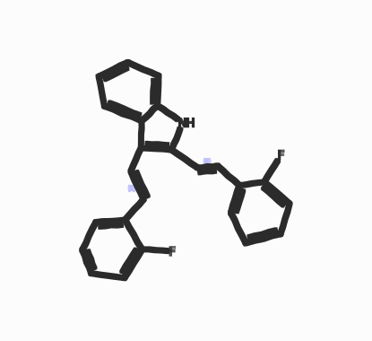 Fc1ccccc1/C=C/c1[nH]c2ccccc2c1/C=C/c1ccccc1F